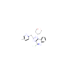 Cc1ccc(Cc2nc3c(Cl)nc4ccccc4c3n2[C@@H]2CCO[C@H](C)C2)nc1